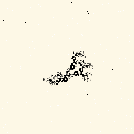 CC(C)(C)OC(=O)[C@@H](Cc1cccc(CN(CCOc2cccc(C[C@H](C(=O)OC(C)(C)C)[C@H]3CCN(C(=O)OC(C)(C)C)C3)c2)C(=O)COc2cccc(C[C@H](C(=O)OC(C)(C)C)[C@H]3CCN(C(=O)OC(C)(C)C)C3)c2)c1)[C@H]1CCN(C(=O)OC(C)(C)C)C1